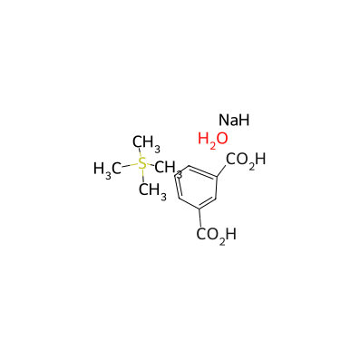 CS(C)(C)C.O.O=C(O)c1cccc(C(=O)O)c1.[NaH]